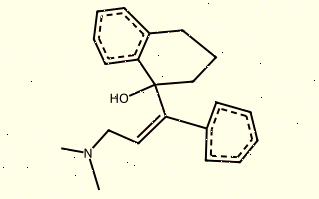 CN(C)C/C=C(/c1ccccc1)C1(O)CCCc2ccccc21